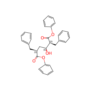 O=C(Oc1ccccc1)[C@@H](Cc1ccccc1)C[C@H](O)[C@H](Cc1ccccc1)C(=O)Oc1ccccc1